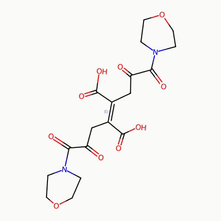 O=C(C/C(C(=O)O)=C(/CC(=O)C(=O)N1CCOCC1)C(=O)O)C(=O)N1CCOCC1